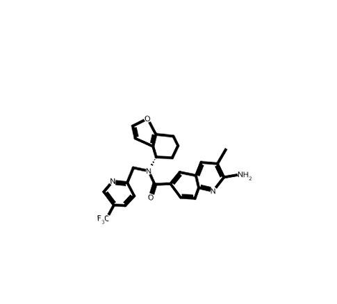 Cc1cc2cc(C(=O)N(Cc3ccc(C(F)(F)F)cn3)[C@H]3CCCc4occc43)ccc2nc1N